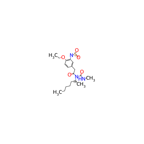 CCCCC[C@H](C)N(C(=O)Cc1ccc(OCC)c(N=S(=O)=O)c1)C(=O)NC